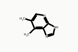 Cc1cnc2[nH]cnc2c1C